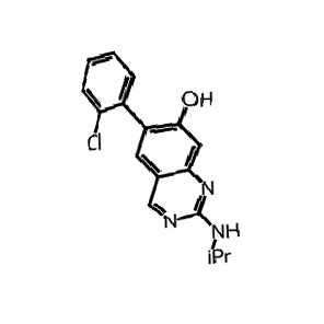 CC(C)Nc1ncc2cc(-c3ccccc3Cl)c(O)cc2n1